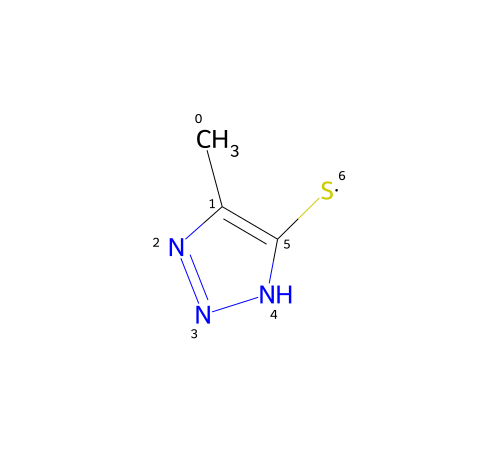 Cc1nn[nH]c1[S]